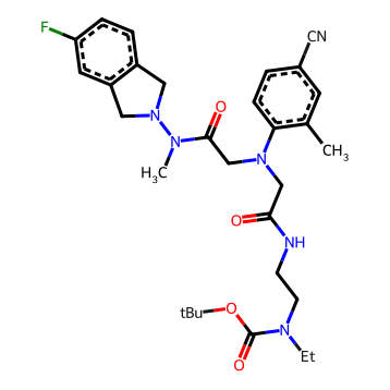 CCN(CCNC(=O)CN(CC(=O)N(C)N1Cc2ccc(F)cc2C1)c1ccc(C#N)cc1C)C(=O)OC(C)(C)C